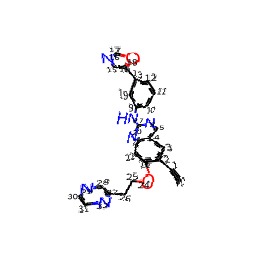 C#Cc1cc2cnc(Nc3cccc(-c4cnco4)c3)nc2cc1OCCc1cnccn1